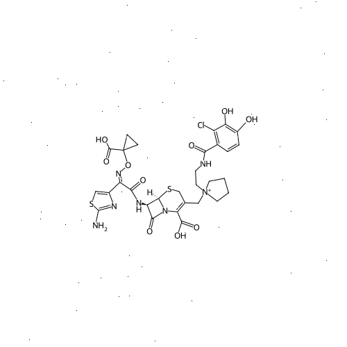 Nc1nc(/C(=N/OC2(C(=O)O)CC2)C(=O)N[C@@H]2C(=O)N3C(C(=O)O)=C(C[N+]4(CCNC(=O)c5ccc(O)c(O)c5Cl)CCCC4)CS[C@H]23)cs1